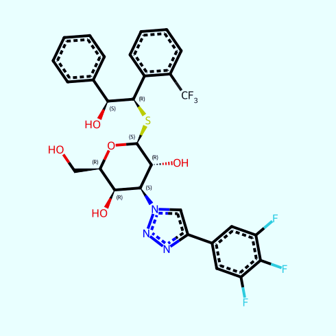 OC[C@H]1O[C@@H](S[C@H](c2ccccc2C(F)(F)F)[C@@H](O)c2ccccc2)[C@H](O)[C@@H](n2cc(-c3cc(F)c(F)c(F)c3)nn2)[C@H]1O